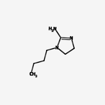 CCCCN1CCN=C1N